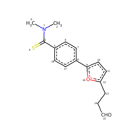 CN(C)C(=S)c1ccc(-c2ccc(CCC=O)o2)cc1